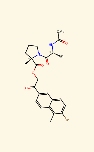 COC(=O)N[C@H](C(=O)N1CCC[C@@]1(C)C(=O)OCC(=O)c1ccc2c(C)c(Br)ccc2c1)C(C)C